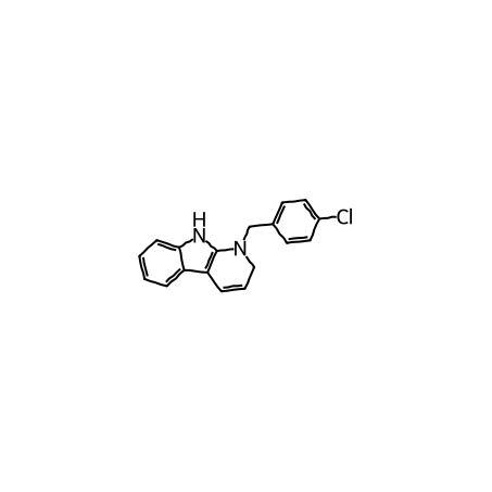 Clc1ccc(CN2CC=Cc3c2[nH]c2ccccc32)cc1